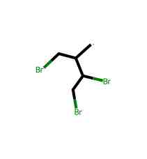 [CH2]C(CBr)C(Br)CBr